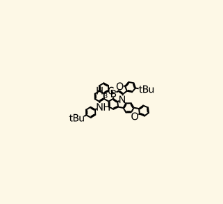 CB1c2oc3ccc(C(C)(C)C)cc3c2-n2c3cc4c(cc3c3ccc(-c5c(Nc6ccc(C(C)(C)C)cc6)ccc6ccccc56)c1c32)oc1ccccc14